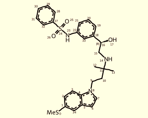 CSc1ccc2c(ccn2CCC(C)(C)NC[C@H](O)c2cccc(NS(=O)(=O)c3ccccc3)c2)c1